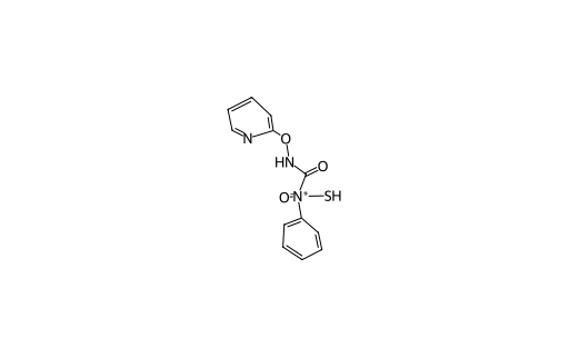 O=C(NOc1ccccn1)[N+]([O-])(S)c1ccccc1